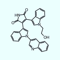 O=C1NC(=O)C(c2cn(-c3cnc4ccccc4c3)c3ccccc23)=C1c1cn(CCO)c2ccccc12